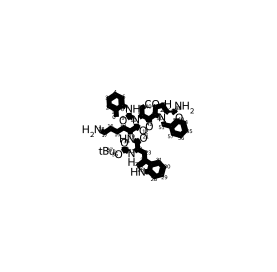 Cc1ccccc1NC(=O)N(C(=O)C(CCCCN)NC(=O)C(Cc1c[nH]c2ccccc12)NC(=O)OC(C)(C)C)C(CC(=O)O)C(=O)C1CC[C@@H](C(N)=O)N1Cc1ccccc1